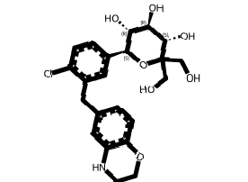 OCC1(CO)O[C@@H](c2ccc(Cl)c(Cc3ccc4c(c3)NCCO4)c2)[C@H](O)[C@@H](O)[C@@H]1O